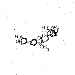 Cc1cc(-c2ccc([C@H](C)N3CCC(CC(C)(C)O)(c4ccc(F)cc4)OC3=O)cc2)cc[n+]1[O-]